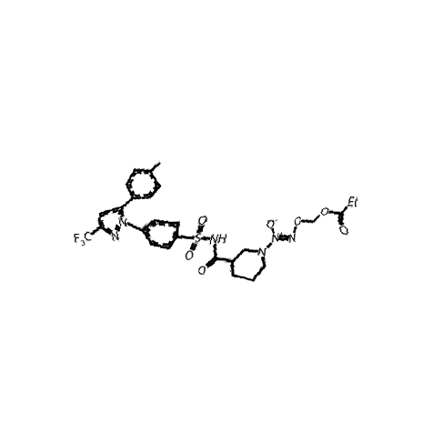 CCC(=O)OCON=[N+]([O-])N1CCCC(C(=O)NS(=O)(=O)c2ccc(-n3nc(C(F)(F)F)cc3-c3ccc(C)cc3)cc2)C1